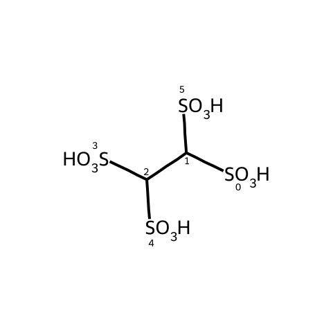 O=S(=O)(O)C(C(S(=O)(=O)O)S(=O)(=O)O)S(=O)(=O)O